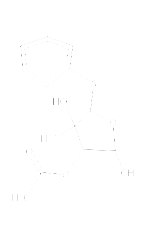 CC(=O)OC1C(C)OC(Sc2ccccc2)C1(C)O